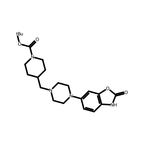 CC(C)(C)OC(=O)N1CCC(CN2CCN(c3ccc4[nH]c(=O)oc4c3)CC2)CC1